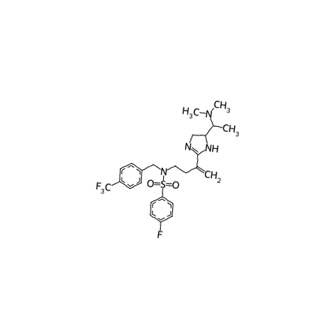 C=C(CCN(Cc1ccc(C(F)(F)F)cc1)S(=O)(=O)c1ccc(F)cc1)C1=NCC(C(C)N(C)C)N1